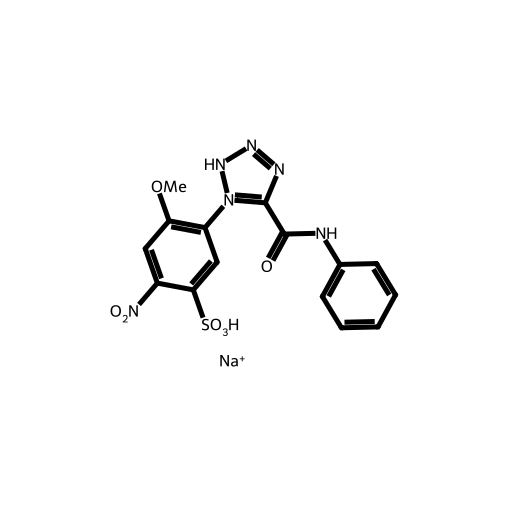 COc1cc([N+](=O)[O-])c(S(=O)(=O)O)cc1-[n+]1[nH]nnc1C(=O)Nc1ccccc1.[Na+]